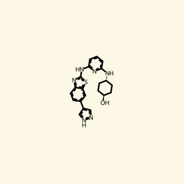 O[C@H]1CC[C@H](Nc2cccc(Nc3nc4ccc(-c5cn[nH]c5)cc4s3)n2)CC1